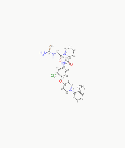 Cc1ccccc1N1CCC(Oc2ccc(NC(=O)[C@H]3CCCCN3C(=O)CNC(N)=S)cc2Cl)CC1